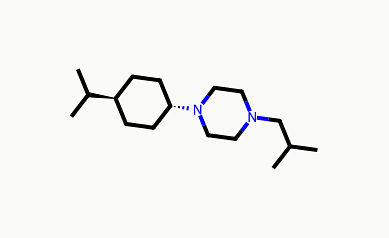 CC(C)CN1CCN([C@H]2CC[C@H](C(C)C)CC2)CC1